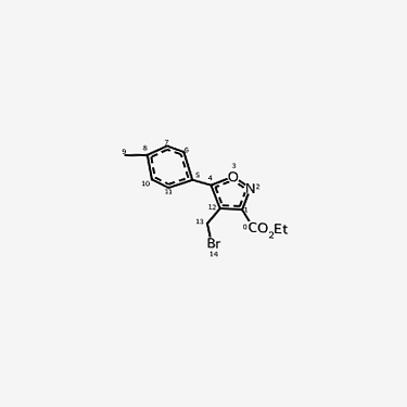 CCOC(=O)c1noc(-c2ccc(C)cc2)c1CBr